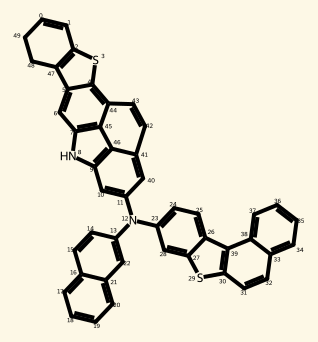 C1=Cc2sc3c(cc4[nH]c5cc(N(c6ccc7ccccc7c6)c6ccc7c(c6)sc6ccc8ccccc8c67)cc6ccc3c4c65)c2CC1